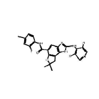 Cc1ccc(NC(=O)c2cc3nc(Nc4c(Cl)cncc4Cl)[nH]c3c3c2OC(C)(C)C3)c(F)c1